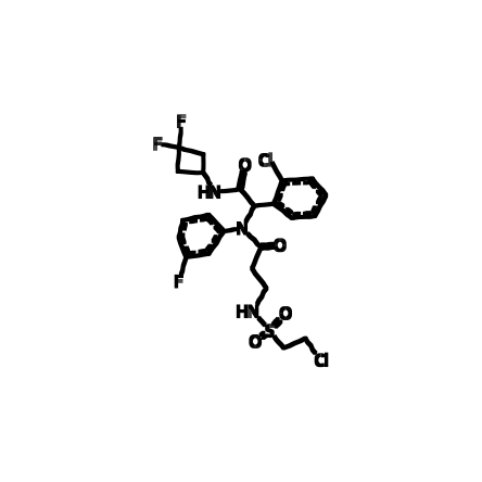 O=C(NC1CC(F)(F)C1)C(c1ccccc1Cl)N(C(=O)CCNS(=O)(=O)CCCl)c1cccc(F)c1